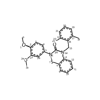 COc1ccc(N2Sc3ccccc3N(Cc3c(C)cccc3C)C2=O)cc1OC